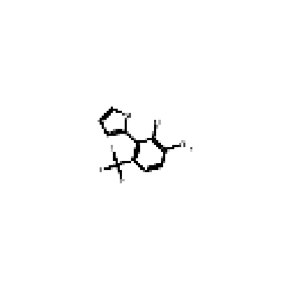 Cc1ccc(C(F)(F)F)c(-c2ccc[nH]2)c1Cl